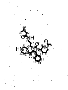 CC(=O)N1CCCC(n2c(-c3ccccc3)c(C(=O)N3CCNCC3)n(CCCNC(=O)CC(C)C)c2=O)C1